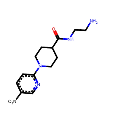 NCCNC(=O)C1CCN(c2ccc([N+](=O)[O-])cn2)CC1